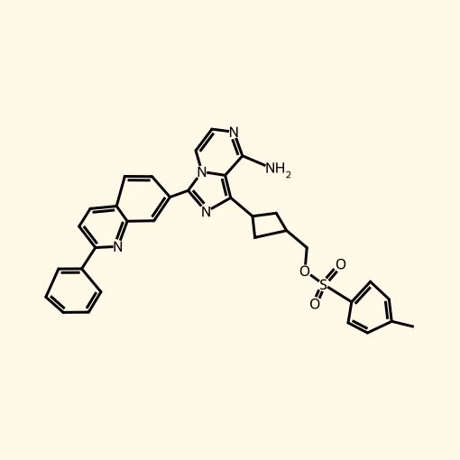 Cc1ccc(S(=O)(=O)OCC2CC(c3nc(-c4ccc5ccc(-c6ccccc6)nc5c4)n4ccnc(N)c34)C2)cc1